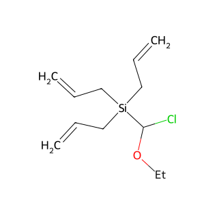 C=CC[Si](CC=C)(CC=C)C(Cl)OCC